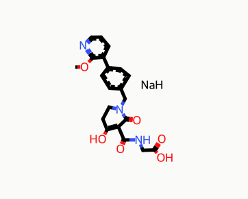 COc1ncccc1-c1ccc(CN2CCC(O)=C(C(=O)NCC(=O)O)C2=O)cc1.[NaH]